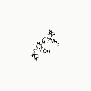 Cc1nc(N2CCC3(CC2)Cn2nccc2[C@H]3N)c(CO)nc1Sc1ccnn1C